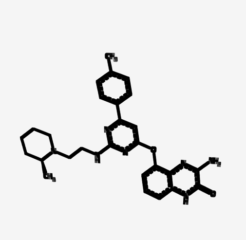 C[C@H]1CCCCN1CCNc1nc(Oc2cccc3[nH]c(=O)c(N)nc23)cc(-c2ccc(C(F)(F)F)cc2)n1